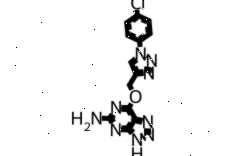 Nc1nc(OCc2cn(-c3ccc(Cl)cc3)nn2)c2nn[nH]c2n1